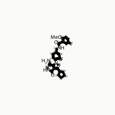 COc1ccc(F)cc1C(=O)NCc1ccc(-n2nc(C3CCCC3)c3c(=O)[nH]nc(N)c32)c(F)c1